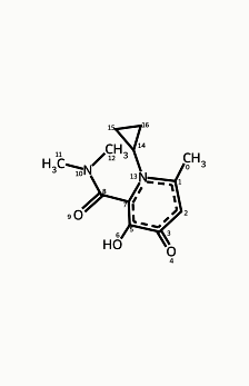 Cc1cc(=O)c(O)c(C(=O)N(C)C)n1C1CC1